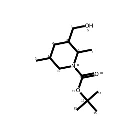 CC1CC(CO)C(C)N(C(=O)OC(C)(C)C)C1